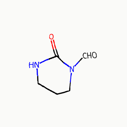 O=CN1CCCNC1=O